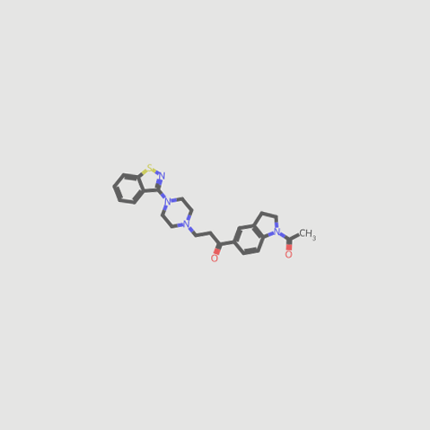 CC(=O)N1CCc2cc(C(=O)CCN3CCN(c4nsc5ccccc45)CC3)ccc21